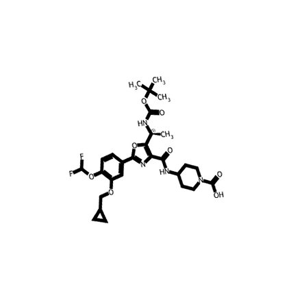 C[C@H](NC(=O)OC(C)(C)C)c1oc(-c2ccc(OC(F)F)c(OCC3CC3)c2)nc1C(=O)NC1CCN(C(=O)O)CC1